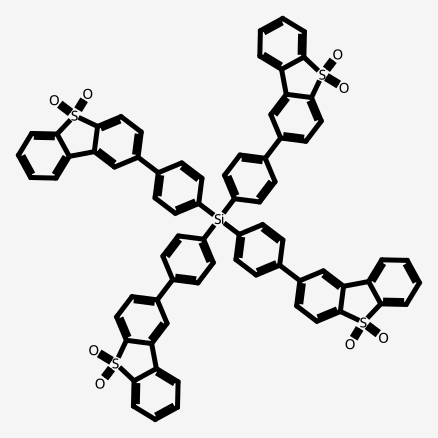 O=S1(=O)c2ccccc2-c2cc(-c3ccc([Si](c4ccc(-c5ccc6c(c5)-c5ccccc5S6(=O)=O)cc4)(c4ccc(-c5ccc6c(c5)-c5ccccc5S6(=O)=O)cc4)c4ccc(-c5ccc6c(c5)-c5ccccc5S6(=O)=O)cc4)cc3)ccc21